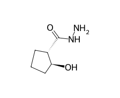 NNC(=O)[C@H]1CCC[C@@H]1O